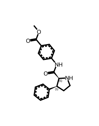 COC(=O)c1ccc(NC(=O)[C@H]2NCC[C@H]2c2ccccc2)cc1